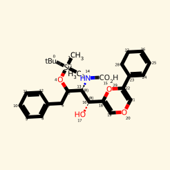 CC(C)(C)[Si](C)(C)OC(Cc1ccccc1)[C@H](NC(=O)O)[C@@H](O)C1=COC=C(C2=CC=CCC2)O1